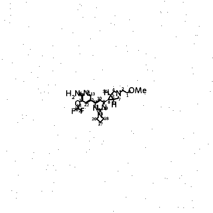 COCCN1C[C@@H]2[C@H](C1)[C@H]2c1cc(-c2cnc(N)c(OC(F)F)c2)nc(N2CCC2)n1